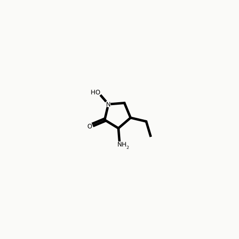 CCC1CN(O)C(=O)C1N